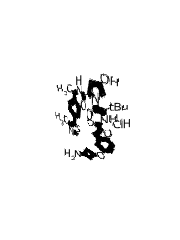 Cc1ncsc1-c1ccc([C@H](C)NC(=O)[C@@H]2C[C@@H](O)CN2C(=O)[C@@H](NC(=O)c2cc3cc(OC4CC(N)C4)ccc3o2)C(C)(C)C)cc1.Cl